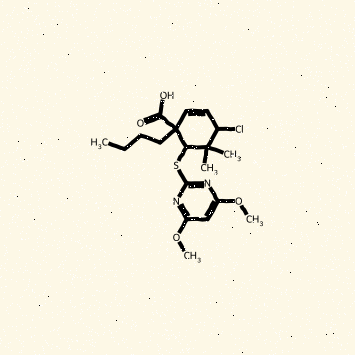 CCCCC1(C(=O)O)C=CC(Cl)C(C)(C)C1Sc1nc(OC)cc(OC)n1